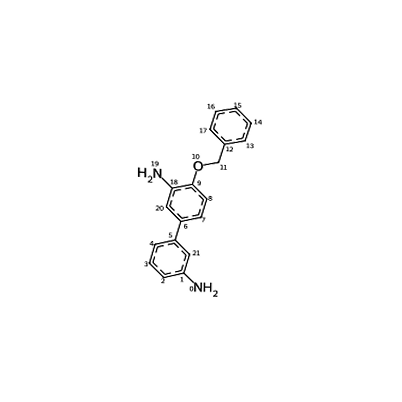 Nc1cccc(-c2ccc(OCc3ccccc3)c(N)c2)c1